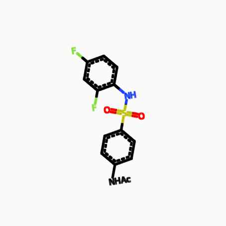 CC(=O)Nc1ccc(S(=O)(=O)Nc2ccc(F)cc2F)cc1